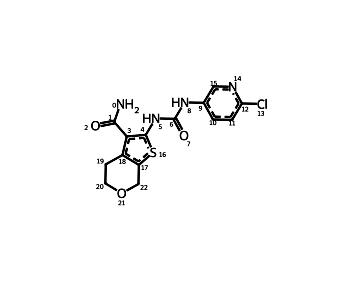 NC(=O)c1c(NC(=O)Nc2ccc(Cl)nc2)sc2c1CCOC2